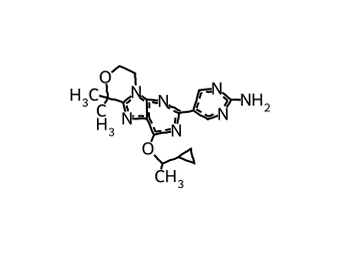 CC(Oc1nc(-c2cnc(N)nc2)nc2c1nc1n2CCOC1(C)C)C1CC1